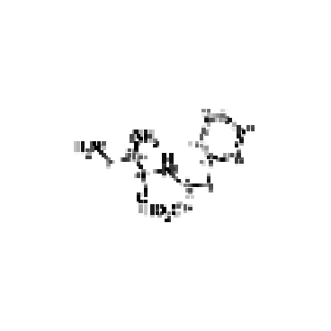 NC[C@@H](N)C(=O)N[C@H](Cc1ccccc1)C(=O)O